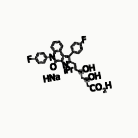 CC(C)n1c(C=C[C@H](O)C[C@@H](O)CC(=O)O)c(-c2ccc(F)cc2)c2c3ccccc3n(-c3ccc(F)cc3)c(=O)c21.[NaH]